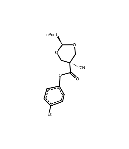 CCCCC[C@H]1OC[C@@](C#N)(C(=O)Oc2ccc(CC)cc2)CO1